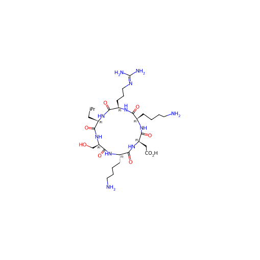 CC(C)C[C@H]1NC(=O)[C@@H](CCCN=C(N)N)NC(=O)[C@@H](CCCCN)NC(=O)[C@@H](CC(=O)O)NC(=O)[C@H](CCCCN)NC(=O)[C@@H](CO)NC1=O